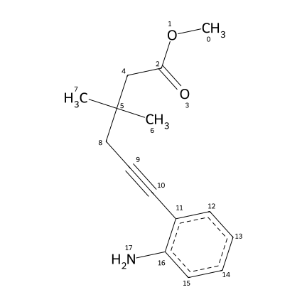 COC(=O)CC(C)(C)CC#Cc1ccccc1N